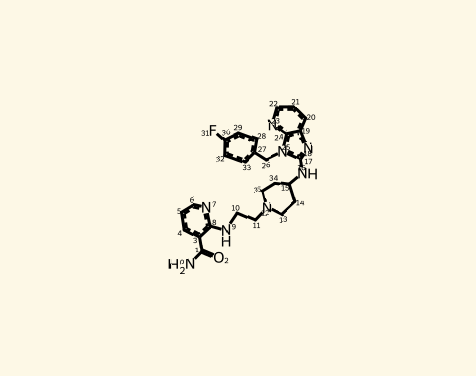 NC(=O)c1cccnc1NCCN1CCC(Nc2nc3cccnc3n2Cc2ccc(F)cc2)CC1